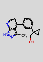 OCC1(c2cccc(-c3ccnc4[nH]nc(C(F)(F)F)c34)c2)CC1